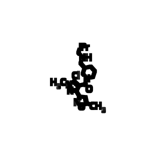 Cc1cc(-c2nn(C)c(Cl)c2C(=O)N2CCCC(CNCC(C)C)C2)no1